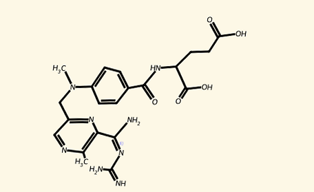 Cc1ncc(CN(C)c2ccc(C(=O)NC(CCC(=O)O)C(=O)O)cc2)nc1/C(N)=N\C(=N)N